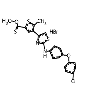 Br.COC(=S)c1cc(-c2csc(Nc3ccc(Oc4ccc(Cl)cc4)cc3)n2)c(C)s1